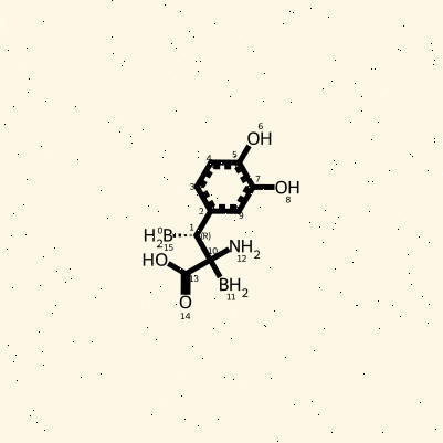 B[C@H](c1ccc(O)c(O)c1)C(B)(N)C(=O)O